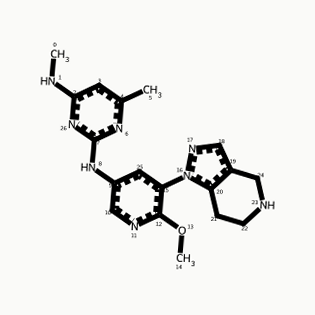 CNc1cc(C)nc(Nc2cnc(OC)c(-n3ncc4c3CCNC4)c2)n1